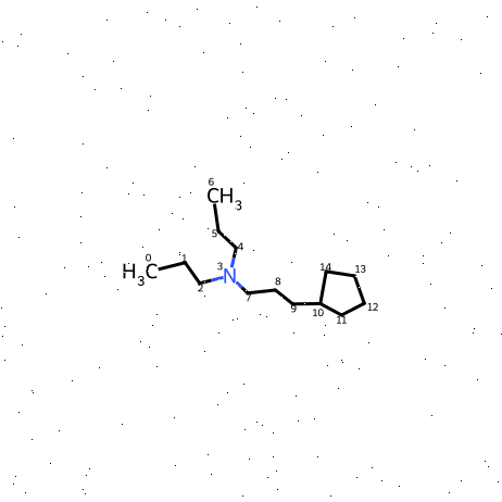 CCCN(CCC)CCCC1CCCC1